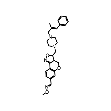 CON=Cc1ccc2c(c1)OCC1C2=NOC1CN1CCN(CC(C)=Cc2ccccc2)CC1